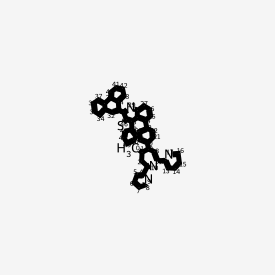 CC1CC(c2ccccn2)=NC(c2ccccn2)=CC1c1ccc(-c2cccc3nc(-c4cc5ccccc5c5ccccc45)c4sc5ccccc5c4c23)cc1